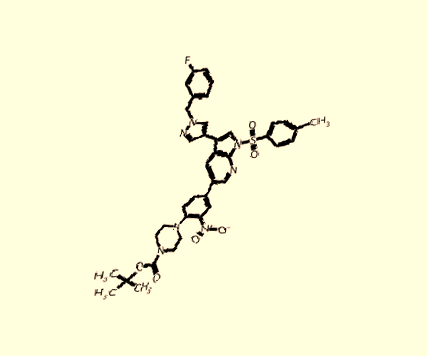 Cc1ccc(S(=O)(=O)n2cc(-c3cnn(Cc4cccc(F)c4)c3)c3cc(-c4ccc(N5CCN(C(=O)OC(C)(C)C)CC5)c([N+](=O)[O-])c4)cnc32)cc1